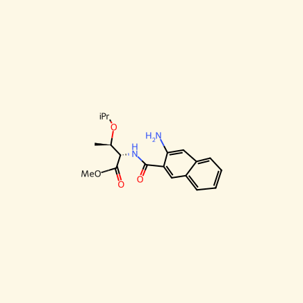 COC(=O)[C@@H](NC(=O)c1cc2ccccc2cc1N)[C@@H](C)OC(C)C